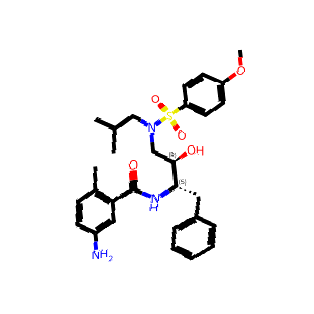 COc1ccc(S(=O)(=O)N(CC(C)C)C[C@@H](O)[C@H](Cc2ccccc2)NC(=O)c2cc(N)ccc2C)cc1